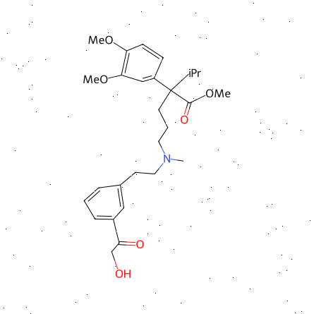 COC(=O)C(CCCN(C)CCc1cccc(C(=O)CO)c1)(c1ccc(OC)c(OC)c1)C(C)C